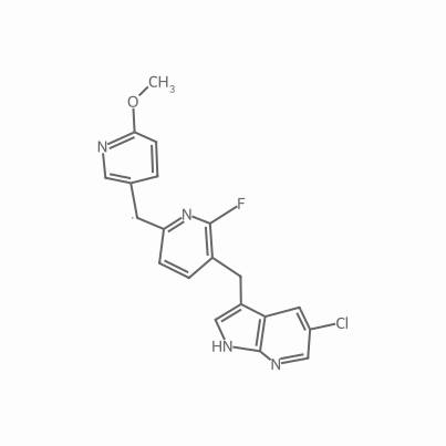 COc1ccc([CH]c2ccc(Cc3c[nH]c4ncc(Cl)cc34)c(F)n2)cn1